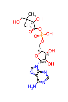 CC(C)(CO)[C@@H](O)C(=O)OP(=O)(O)OC[C@H]1O[C@@H](n2cnc3c(N)ncnc32)[C@H](O)[C@@H]1O